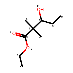 CCOC(=O)C(C)(C)C(O)CC